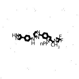 C=C(c1cc2ccc(-c3nccc(Nc4ccc(-c5cn[nH]c5)cc4)n3)cc2n1CCC)N1CC(F)(F)C1